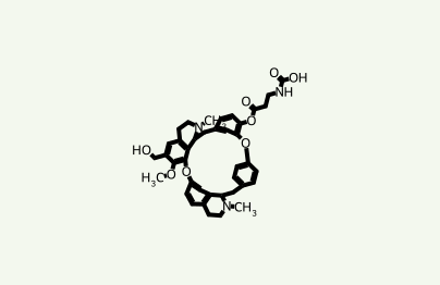 COc1c(CO)cc2c3c1Oc1ccc4c(c1)C(Cc1ccc(cc1)Oc1cc(ccc1OC(=O)CCNC(=O)O)CC3N(C)CC2)N(C)CC4